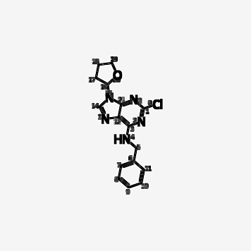 Clc1nc(NCc2ccccc2)c2ncn(C3CCCO3)c2n1